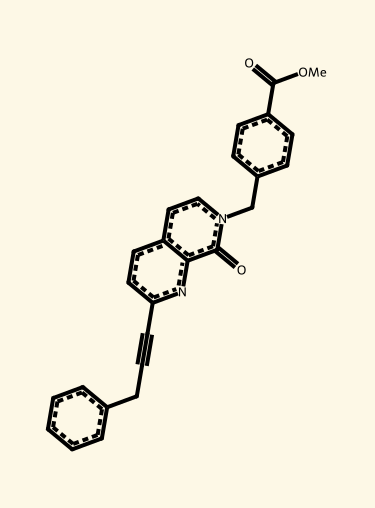 COC(=O)c1ccc(Cn2ccc3ccc(C#CCc4ccccc4)nc3c2=O)cc1